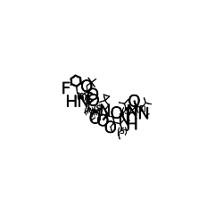 CC[C@H](C)C(C(CC(=O)N1CC2(CC2)C[C@H]1[C@H](OC)[C@@H](C)C(=O)N[C@@H](Cc1ccccc1F)C(=O)OC(C)(C)C)OC)N(C)C(=O)[C@@H](NC(=O)[C@@H](NC)C(C)C)C(C)C